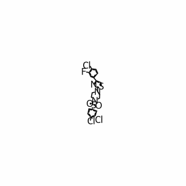 O=S(=O)(c1ccc(Cl)c(Cl)c1)N1CCN(c2nc(-c3ccc(Cl)c(F)c3)cs2)CC1